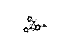 CC(C)(C)c1ccc(OC(=O)N2CCCC2)c(OC(=O)N2CCCC2)c1